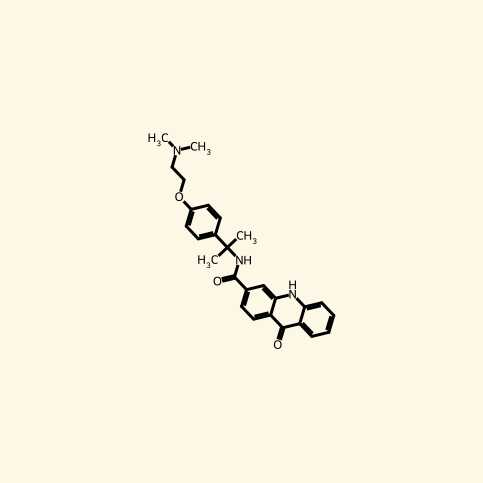 CN(C)CCOc1ccc(C(C)(C)NC(=O)c2ccc3c(=O)c4ccccc4[nH]c3c2)cc1